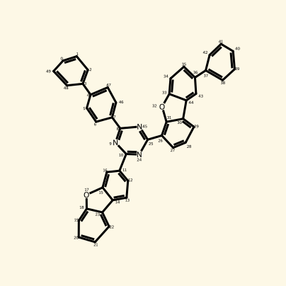 c1ccc(-c2ccc(-c3nc(-c4ccc5c(c4)oc4ccccc45)nc(-c4cccc5c4oc4ccc(-c6ccccc6)cc45)n3)cc2)cc1